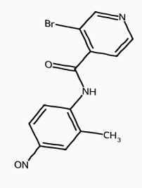 Cc1cc(N=O)ccc1NC(=O)c1ccncc1Br